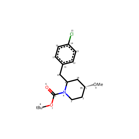 CO[C@@H]1CCN(C(=O)OC(C)(C)C)C(Cc2ccc(Cl)cc2)C1